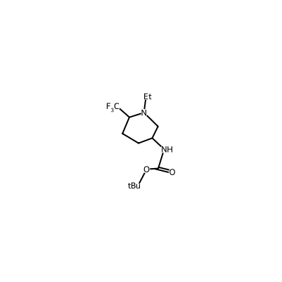 CCN1CC(NC(=O)OC(C)(C)C)CCC1C(F)(F)F